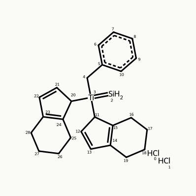 Cl.Cl.[SiH2]=[Ti]([CH2]c1ccccc1)([CH]1C=CC2=C1CCCC2)[CH]1C=CC2=C1CCCC2